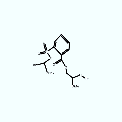 CCCCCCC(CCC)OS(=O)(=O)c1ccccc1C(=O)OCC(OC)OCC